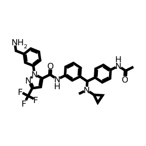 CC(=O)Nc1ccc(C(c2cccc(NC(=O)c3cc(C(F)(F)F)nn3-c3cccc(CN)c3)c2)N(C)C2CC2)cc1